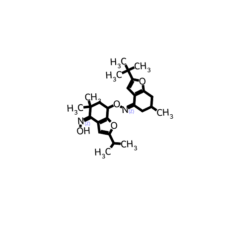 CC1C/C(=N/OC2CC(C)(C)/C(=N/O)c3cc(C(C)C)oc32)c2cc(C(C)(C)C)oc2C1